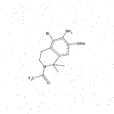 COc1cc2c(c(Br)c1N)CCN(C(=O)C(F)(F)F)C2(C)C